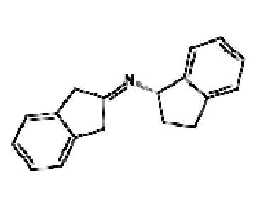 c1ccc2c(c1)CC(=N[C@H]1CCc3ccccc31)C2